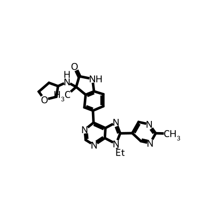 CCn1c(-c2cnc(C)nc2)nc2c(-c3ccc4c(c3)C(C)(NC3CCOC3)C(=O)N4)ncnc21